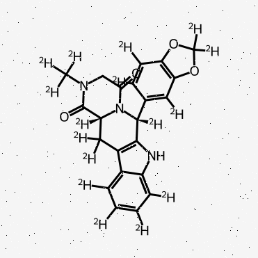 [2H]c1c([2H])c([C@]2([2H])c3[nH]c4c([2H])c([2H])c([2H])c([2H])c4c3C([2H])([2H])[C@]3([2H])C(=O)N(C([2H])([2H])[2H])CC(=O)N23)c([2H])c2c1OC([2H])([2H])O2